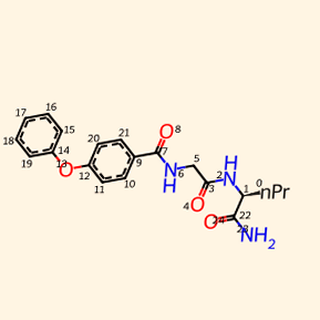 CCC[C@H](NC(=O)CNC(=O)c1ccc(Oc2ccccc2)cc1)C(N)=O